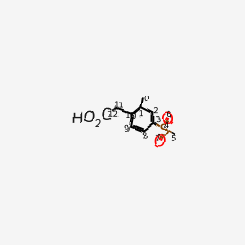 CC1C=C(S(C)(=O)=O)C=CC1CC(=O)O